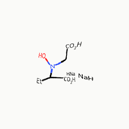 CCC(C(=O)O)N(O)CC(=O)O.[NaH].[NaH]